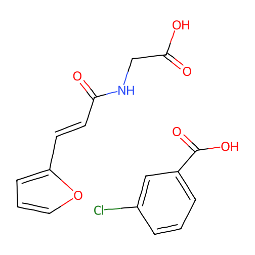 O=C(O)CNC(=O)/C=C/c1ccco1.O=C(O)c1cccc(Cl)c1